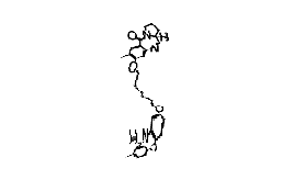 Cc1ccc(Oc2ccc(OCCCCCCOc3cc4c(cc3C)C(=O)N3CCC[C@H]3C=N4)cc2N)cc1